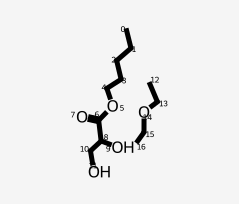 CCCCCOC(=O)C(O)CO.CCOCC